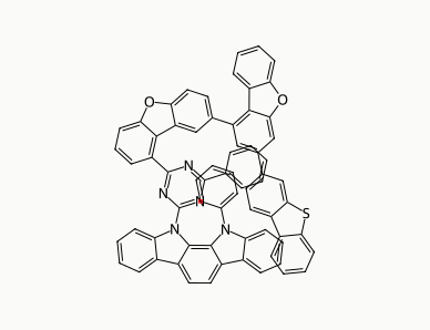 c1ccc(-c2nc(-c3cccc4oc5ccc(-c6cc(-c7ccc8c(c7)sc7ccccc78)cc7oc8ccccc8c67)cc5c34)nc(-n3c4ccccc4c4ccc5c6ccccc6n(-c6ccccc6)c5c43)n2)cc1